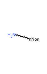 CCCCCCCCCCCCCCCCCCCC/C=C/N